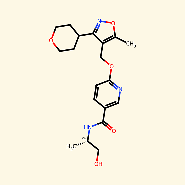 Cc1onc(C2CCOCC2)c1COc1ccc(C(=O)N[C@@H](C)CO)cn1